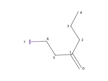 C=C(CCC)CCI